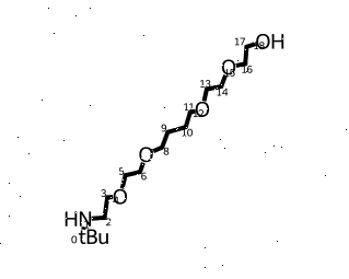 CC(C)(C)NCCOCCOCCCCOCCOCCO